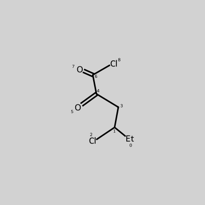 CCC(Cl)CC(=O)C(=O)Cl